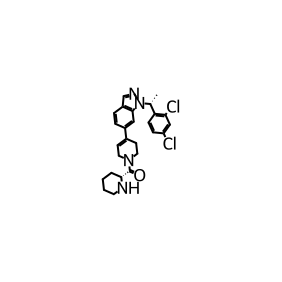 C[C@H](c1ccc(Cl)cc1Cl)n1ncc2ccc(C3=CCN(C(=O)[C@H]4CCCCN4)CC3)cc21